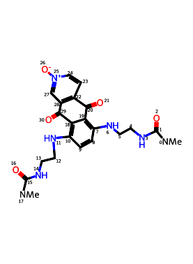 CNC(=O)NCCNc1ccc(NCCNC(=O)NC)c2c1C(=O)c1cc[n+]([O-])cc1C2=O